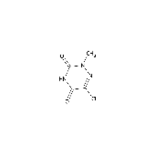 Cn1nc(Cl)c(=O)[nH]c1=O